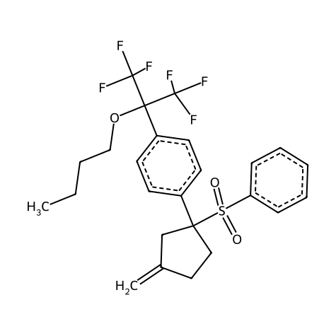 C=C1CCC(c2ccc(C(OCCCC)(C(F)(F)F)C(F)(F)F)cc2)(S(=O)(=O)c2ccccc2)C1